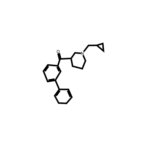 O=C(c1cccc(C2=CCCC=C2)c1)C1CCCN(CC2CC2)C1